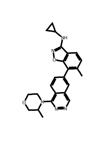 Cc1ccc2c(NC3CC3)noc2c1-c1ccc2c(N3CCOCC3C)nncc2c1